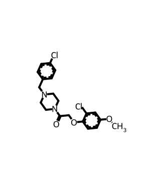 COc1ccc(OCC(=O)N2CCN(Cc3ccc(Cl)cc3)CC2)c(Cl)c1